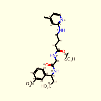 CS(=O)(=O)O.Cc1ccnc(NCCCC(=O)NCC(=O)NC(CC(=O)O)c2cccc([N+](=O)[O-])c2)c1